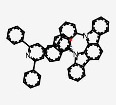 c1ccc(-c2cc(-c3cccc(-n4c5ccccc5c5ccc6c7ccccc7n(-c7cccc8c7sc7ccccc78)c6c54)c3)cc(-c3ccccc3)n2)cc1